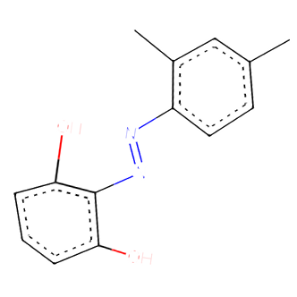 Cc1ccc(N=Nc2c(O)cccc2O)c(C)c1